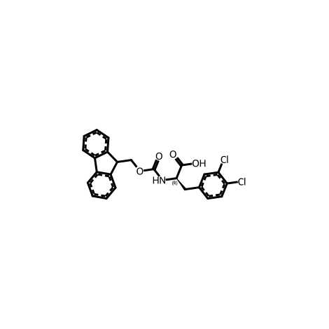 O=C(N[C@H](Cc1ccc(Cl)c(Cl)c1)C(=O)O)OCC1c2ccccc2-c2ccccc21